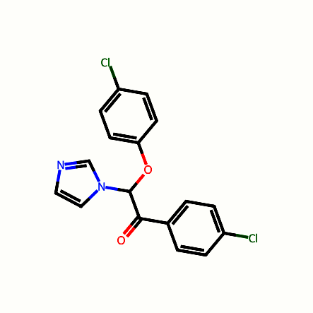 O=C(c1ccc(Cl)cc1)C(Oc1ccc(Cl)cc1)n1ccnc1